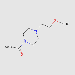 COC(=O)N1CCN(CCO[C]=O)CC1